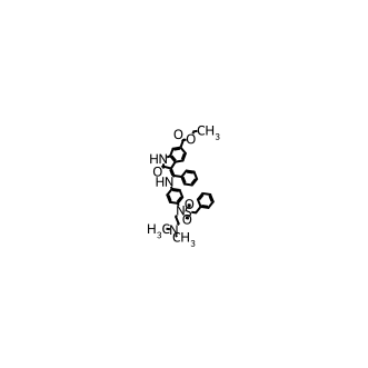 CCOC(=O)c1ccc2c(c1)NC(=O)/C2=C(\Nc1ccc(N(CCN(C)C)S(=O)(=O)Cc2ccccc2)cc1)c1ccccc1